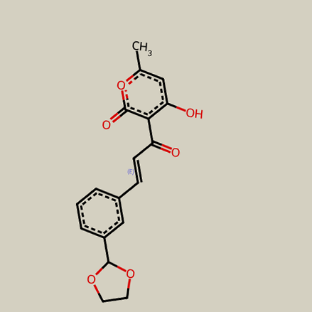 Cc1cc(O)c(C(=O)/C=C/c2cccc(C3OCCO3)c2)c(=O)o1